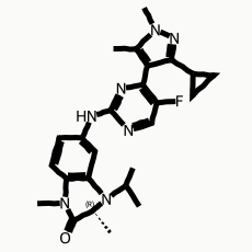 Cc1c(-c2nc(Nc3ccc4c(c3)N(C(C)C)[C@H](C)C(=O)N4C)ncc2F)c(C2CC2)nn1C